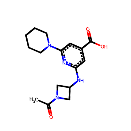 CC(=O)N1CC(Nc2cc(C(=O)O)cc(N3CCCCC3)n2)C1